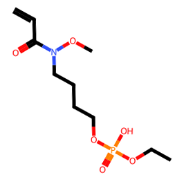 C=CC(=O)N(CCCCOP(=O)(O)OCC)OC